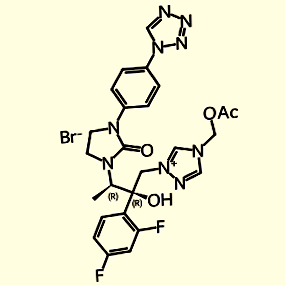 CC(=O)OCn1cn[n+](C[C@](O)(c2ccc(F)cc2F)[C@@H](C)N2CCN(c3ccc(-n4cnnn4)cc3)C2=O)c1.[Br-]